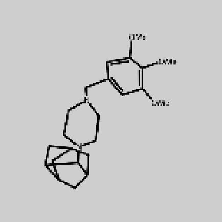 COc1cc(CN2CCN(C3C4CC5CC(C4)C3C5)CC2)cc(OC)c1OC